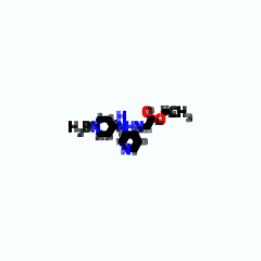 BN1CCC(Nc2cnccc2NCC(=O)OCC)CC1